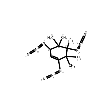 CC1(C)C(N=[N+]=[N-])=CC(N=[N+]=[N-])C(C)(C)C1(C)N=[N+]=[N-]